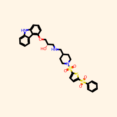 O=S(=O)(c1ccccc1)c1ccc(S(=O)(=O)N2CCC(CNC[C@H](O)COc3cccc4[nH]c5ccccc5c34)CC2)s1